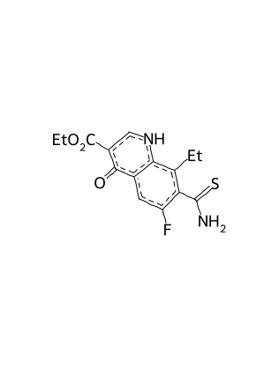 CCOC(=O)c1c[nH]c2c(CC)c(C(N)=S)c(F)cc2c1=O